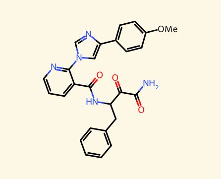 COc1ccc(-c2cn(-c3ncccc3C(=O)NC(Cc3ccccc3)C(=O)C(N)=O)cn2)cc1